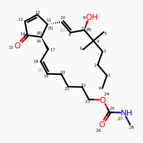 CCCCC(C)(C)[C@H](O)/C=C/[C@H]1C=CC(=O)[C@@H]1C/C=C\CCCCOC(=O)NC